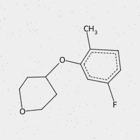 Cc1ccc(F)cc1OC1CCOCC1